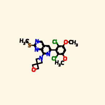 COc1cc(OC)c(Cl)c(-c2cc3cnc(SC)nc3c(N3CC4(COC4)C3)n2)c1Cl